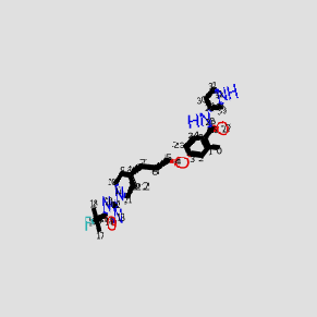 Cc1cc(OCCCC2CCN(c3noc(C(C)(C)F)n3)CC2)ccc1C(=O)NC1CCNC1